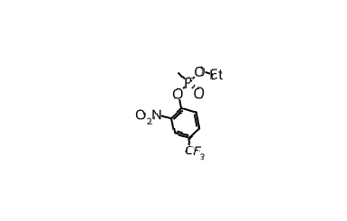 CCOP(C)(=O)Oc1ccc(C(F)(F)F)cc1[N+](=O)[O-]